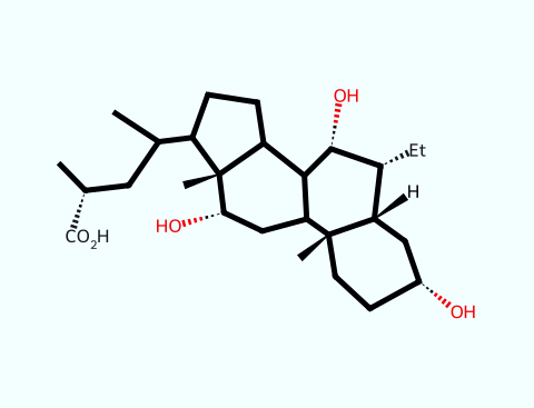 CC[C@H]1[C@@H](O)C2C3CCC(C(C)C[C@@H](C)C(=O)O)[C@@]3(C)[C@@H](O)CC2[C@@]2(C)CC[C@@H](O)C[C@@H]12